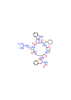 CC(=O)N[C@@H](Cc1ccccc1)C(=O)N[C@H]1CCNC(=O)C(CCCNC(=N)N)NC(=O)C(Cc2c[nH]c3ccccc23)NC(=O)[C@@H](CC2CCCCC2)NC(=O)C(C(C)C)NC1=O